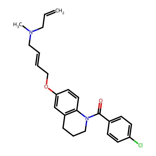 C=CCN(C)CC=CCOc1ccc2c(c1)CCCN2C(=O)c1ccc(Cl)cc1